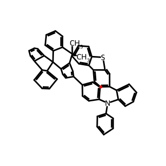 CC1(C)c2ccccc2C2(c3ccccc3-c3ccccc32)c2ccc(-c3ccc(N(c4ccccc4)c4ccccc4-c4ccc5c(c4)sc4ccccc45)cc3)cc21